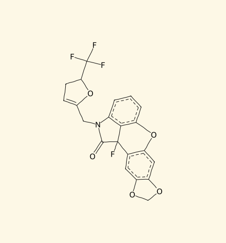 O=C1N(CC2=CCC(C(F)(F)F)O2)c2cccc3c2C1(F)c1cc2c(cc1O3)OCO2